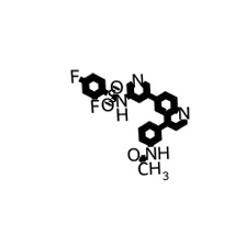 CC(=O)Nc1cccc(-c2ccnc3ccc(-c4cncc(NS(=O)(=O)c5ccc(F)cc5F)c4)cc23)c1